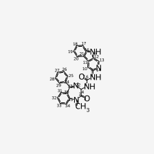 CN1C(=O)C(NC(=O)Nc2cc3c(cn2)[nH]c2ccccc23)N=C(c2ccccc2)c2ccccc21